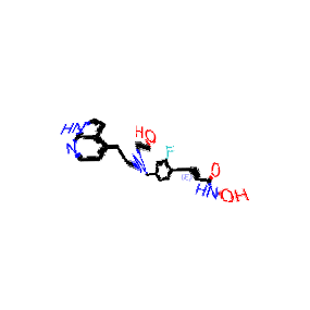 O=C(/C=C/c1ccc(CN(CCO)CCc2ccnc3[nH]ccc23)cc1F)NO